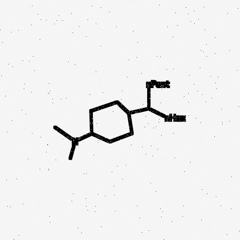 CCCCCCC(CCCCC)C1CCC(N(C)C)CC1